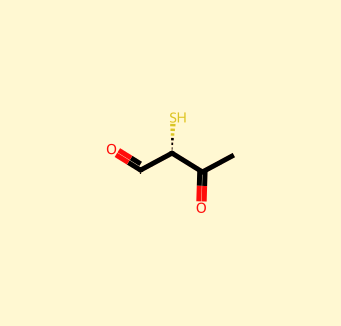 CC(=O)[C@@H](S)[C]=O